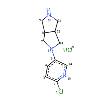 Cl.Clc1ccc(N2CC3CNCC3C2)cn1